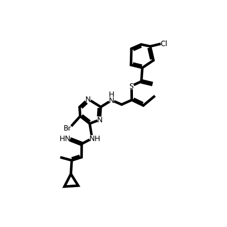 C=C(S/C(=C\C)CNc1ncc(Br)c(NC(=N)/C=C(\C)C2CC2)n1)c1cccc(Cl)c1